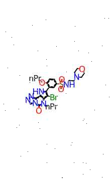 CCCOc1ccc(S(=O)(=O)NCCN2CCOCC2)cc1-c1[nH]c2c(c1Br)n(CCC)c(=O)n1cnnc21